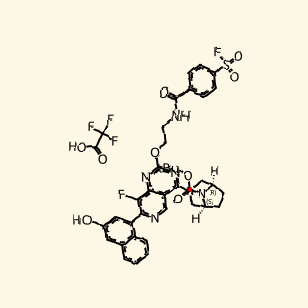 CC(C)(C)OC(=O)N1[C@@H]2CC[C@H]1CN(c1nc(OCCNC(=O)c3ccc(S(=O)(=O)F)cc3)nc3c(F)c(-c4cc(O)cc5ccccc45)ncc13)C2.O=C(O)C(F)(F)F